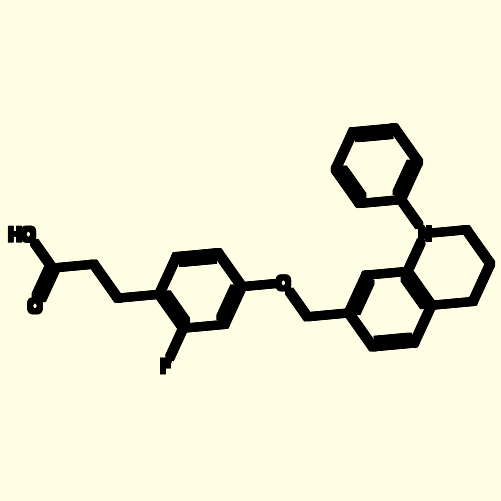 O=C(O)CCc1ccc(OCc2ccc3c(c2)N(c2ccccc2)CCC3)cc1F